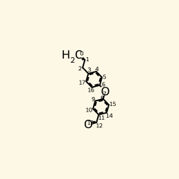 C=CCc1ccc(Oc2ccc(C=O)cc2)cc1